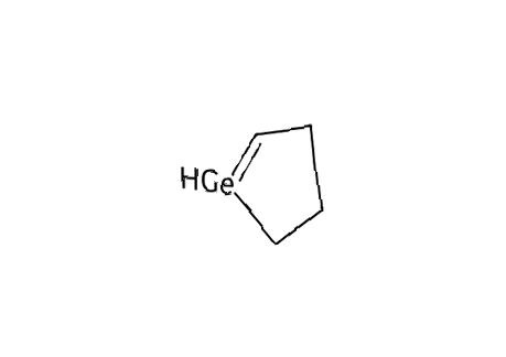 [CH]1=[GeH][CH2]CC1